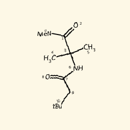 CNC(=O)C(C)(C)NC(=O)CC(C)(C)C